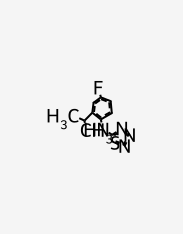 CC(C)c1cc(F)ccc1Nc1nnns1